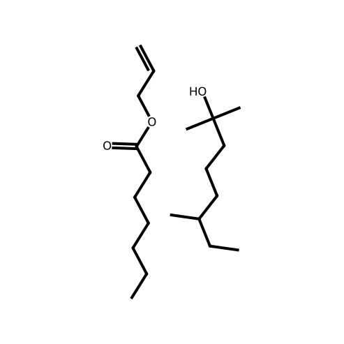 C=CCOC(=O)CCCCCC.CCC(C)CCCC(C)(C)O